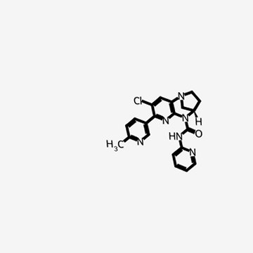 Cc1ccc(-c2nc3c(cc2Cl)N2CC[C@@H](C2)N3C(=O)Nc2ccccn2)cn1